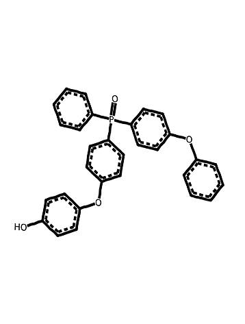 O=P(c1ccccc1)(c1ccc(Oc2ccccc2)cc1)c1ccc(Oc2ccc(O)cc2)cc1